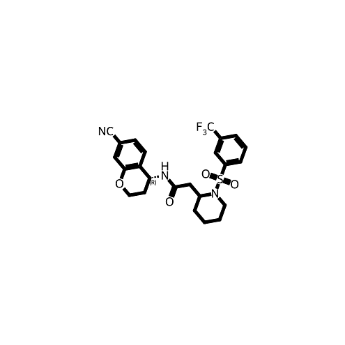 N#Cc1ccc2c(c1)OCC[C@H]2NC(=O)CC1CCCCN1S(=O)(=O)c1cccc(C(F)(F)F)c1